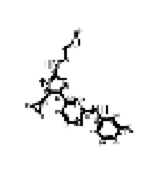 COCCNc1nc(C2CC2)c(-c2ccnc(Nc3cccc(Cl)c3)n2)s1